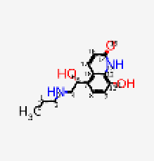 C[CH]CNC[C@H](O)c1ccc(O)c2[nH]c(=O)ccc12